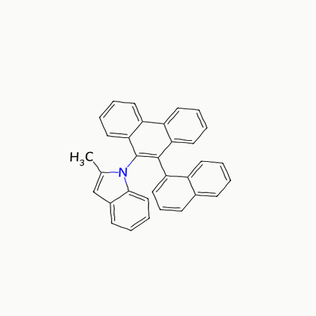 Cc1cc2ccccc2n1-c1c(-c2cccc3ccccc23)c2ccccc2c2ccccc12